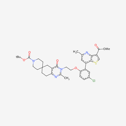 COC(=O)c1csc2c(-c3cc(Cl)ccc3OCCn3c(C)nc4c(c3=O)CC3(CC4)CCN(C(=O)OC(C)(C)C)CC3)cc(C)nc12